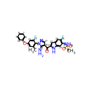 Cc1cc(Oc2ccccc2)cc(F)c1-n1ncc(C(=O)c2cc3cc(F)c(NS(C)(=O)=O)cc3[nH]2)c1N